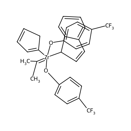 C[C](C)=[Zr]([O]c1ccc(C(F)(F)F)cc1)([O]c1ccc(C(F)(F)F)cc1)([C]1=CC=CC1)[CH]1C=Cc2ccccc21